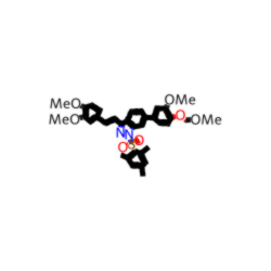 COCOc1ccc(-c2ccc3c(C=Cc4ccc(OC)c(OC)c4)nn(S(=O)(=O)c4c(C)cc(C)cc4C)c3c2)cc1OC